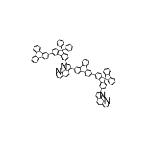 c1ccc(C2(c3ccccc3)c3ccc(-c4ccc5c6ccccc6c6ccccc6c5c4)cc3-c3cc(-c4cc(-c5ccc6c7ccc(-c8ccc9c(c8)-c8cc(-c%10ccc%11ccc%12cccnc%12c%11n%10)ccc8C98c9ccccc9-c9ccccc98)cc7c7ccccc7c6c5)c5ccc6cccnc6c5n4)ccc32)cc1